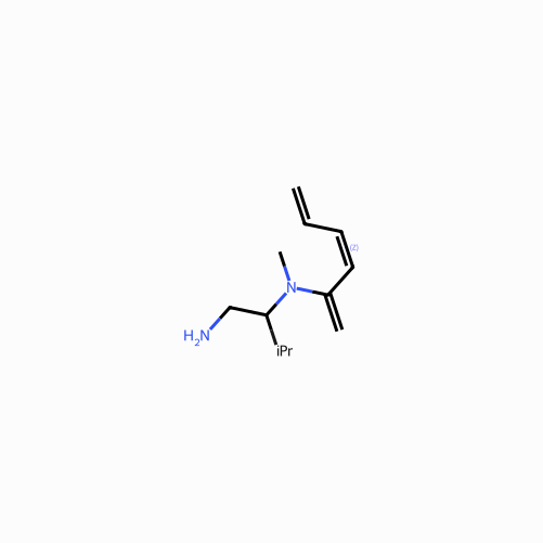 C=C/C=C\C(=C)N(C)C(CN)C(C)C